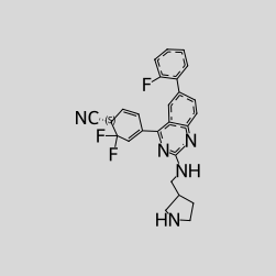 N#C[C@@H]1C=CC(c2nc(NCC3CCNC3)nc3ccc(-c4ccccc4F)cc23)=CC1(F)F